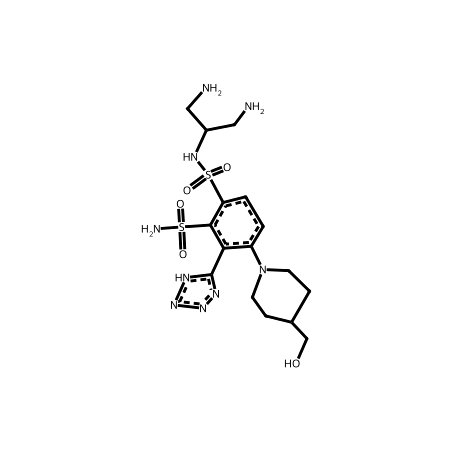 NCC(CN)NS(=O)(=O)c1ccc(N2CCC(CO)CC2)c(-c2nnn[nH]2)c1S(N)(=O)=O